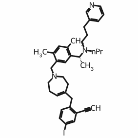 C#Cc1cc(I)ccc1CC1=CCCN(Cc2cc([C@@H](C)N(CCC)CCCc3cccnc3)c(C)cc2C)CC1